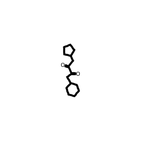 O=C(CC1CCCCC1)C(=O)CC1CCCC1